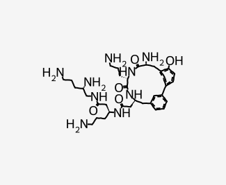 NCCC[C@H](N)CNC(=O)C[C@H](CCCN)NC(=O)C[C@@H]1Cc2cccc(c2)-c2ccc(O)c(c2)C[C@H](N)C(=O)N[C@@H](CCCN)C(=O)N1